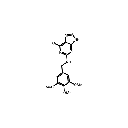 COc1cc(CNc2nc(O)c3nc[nH]c3n2)cc(OC)c1OC